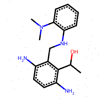 CC(O)c1c(N)ccc(N)c1CNc1ccccc1N(C)C